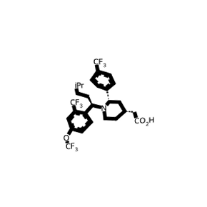 CC(C)CC[C@H](c1ccc(OC(F)(F)F)cc1C(F)(F)F)N1CC[C@@H](CC(=O)O)C[C@H]1c1ccc(C(F)(F)F)cc1